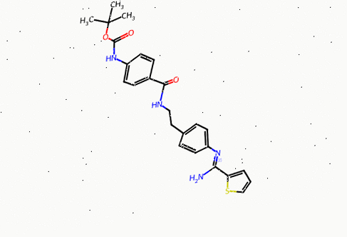 CC(C)(C)OC(=O)Nc1ccc(C(=O)NCCc2ccc(/N=C(\N)c3cccs3)cc2)cc1